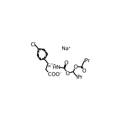 CC(C)C(=O)OC(OC(=O)NC[C@H](CC(=O)[O-])c1ccc(Cl)cc1)C(C)C.[Na+]